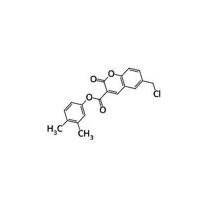 Cc1ccc(OC(=O)c2cc3cc(CCl)ccc3oc2=O)cc1C